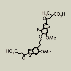 COc1cc2sc(C(=O)CCC(=O)O)cc2cc1CCCOc1c(OC)cc2sc(C(=O)CC(C)C(=O)O)cc2c1F